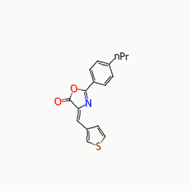 CCCc1ccc(C2=N/C(=C\c3ccsc3)C(=O)O2)cc1